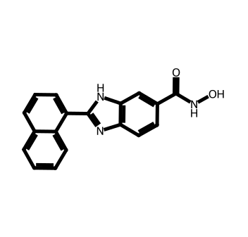 O=C(NO)c1ccc2nc(-c3cccc4ccccc34)[nH]c2c1